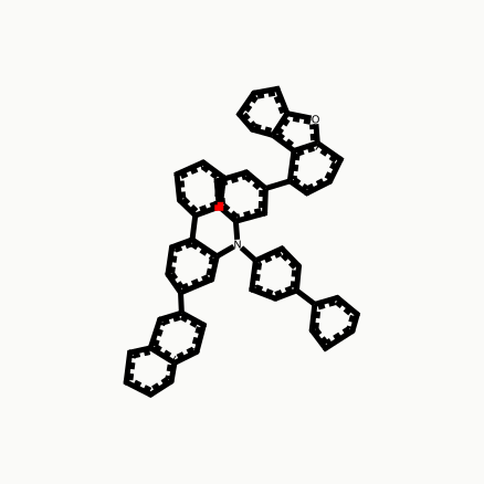 c1ccc(-c2ccc(N(c3cccc(-c4cccc5oc6ccccc6c45)c3)c3cc(-c4ccc5ccccc5c4)ccc3-c3ccccc3)cc2)cc1